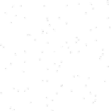 O=CC[C@@]1(c2ccccn2)CCC(=O)C2(CCCC2)C1